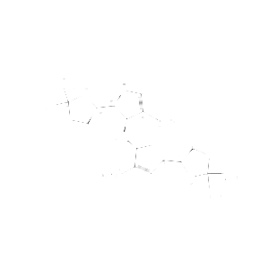 CC(=O)NC1=C[C@@H]([C@H]2COC(C)(C)O2)O[C@@H]1O[C@@H]1C(NC(C)=O)=CO[C@@H]1[C@H]1COC(C)(C)O1